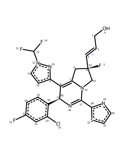 OC/C=C/[C@@]1(F)CC2=C(c3ccn(C(F)F)n3)[C@H](c3ccc(F)cc3Cl)N=C(c3nccs3)N2C1